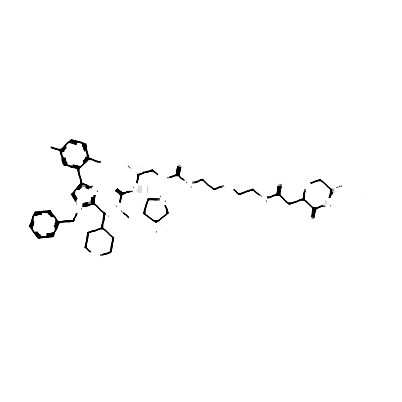 C[C@@H](COC(=O)NCCOCCNC(=O)CC1SC[C@@H](C(=O)O)NC1=O)NC(=O)N(C[C@@H]1CNC[C@@H]1F)[C@@H](c1nc(-c2cc(F)ccc2F)cn1Cc1ccccc1)C1CCOCC1